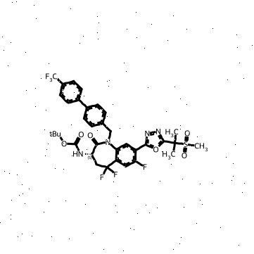 CC(C)(C)OC(=O)N[C@H]1CC(F)(F)c2cc(F)c(-c3nnc(C(C)(C)S(C)(=O)=O)o3)cc2N(Cc2ccc(-c3ccc(C(F)(F)F)cc3)cc2)C1=O